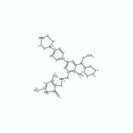 CCN(c1cc(-c2ccc(N3CCNCC3)nc2)cc(CNCc2c(C)cc(C)[nH]c2=O)c1C)C1CCOCC1